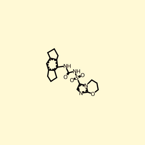 O=C(Nc1c2c(cc3c1CCC3)CCC2)NS(=O)(=O)c1cnc2n1CCCO2